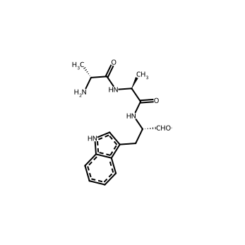 C[C@H](NC(=O)[C@@H](C)N)C(=O)N[C@H]([C]=O)Cc1c[nH]c2ccccc12